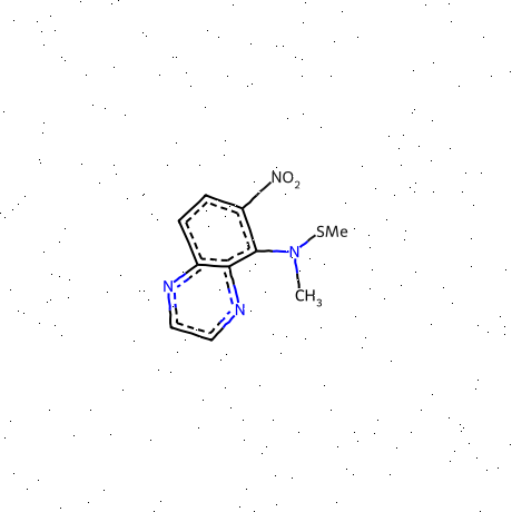 CSN(C)c1c([N+](=O)[O-])ccc2nccnc12